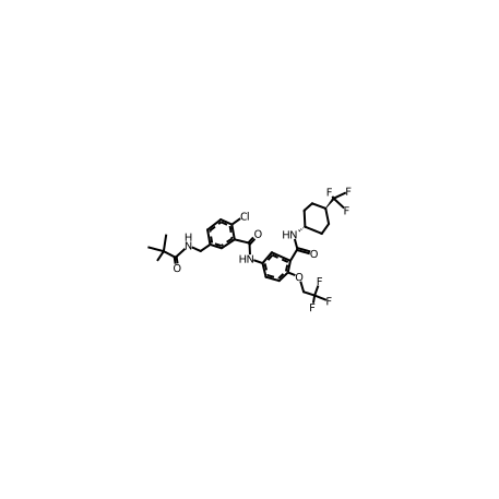 CC(C)(C)C(=O)NCc1ccc(Cl)c(C(=O)Nc2ccc(OCC(F)(F)F)c(C(=O)N[C@H]3CC[C@H](C(F)(F)F)CC3)c2)c1